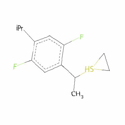 CC(C)c1cc(F)c(C(C)[SH]2CC2)cc1F